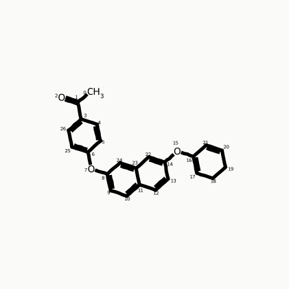 CC(=O)c1ccc(Oc2ccc3ccc(OC4=CC[CH]C=C4)cc3c2)cc1